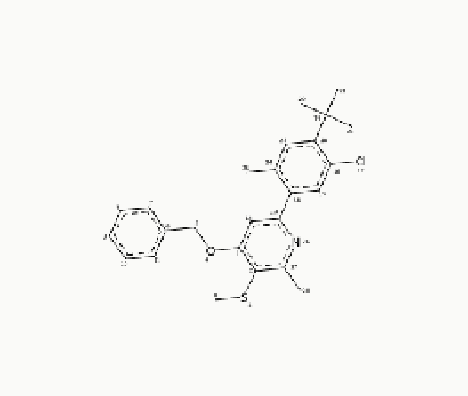 CSc1c(OCc2ccccc2)cc(-c2cc(Cl)c(C(C)(C)C)cc2C)nc1C